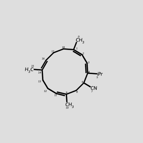 CC1=CC=C(C(C)C)C(C#N)CC(C)=CCCC(C)=CCC1